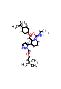 CCNC(=O)N1CCCC(c2ccnn2COCC[Si](C)(C)C)C1COC1CCC(C(C)C)CC1